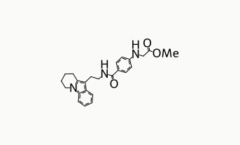 COC(=O)CNc1ccc(C(=O)NCCc2c3n(c4ccccc24)CCCC3)cc1